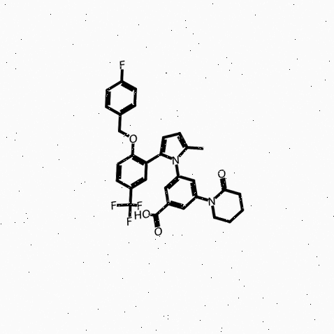 Cc1ccc(-c2cc(C(F)(F)F)ccc2OCc2ccc(F)cc2)n1-c1cc(C(=O)O)cc(N2CCCCC2=O)c1